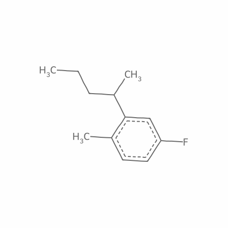 CCCC(C)c1cc(F)ccc1C